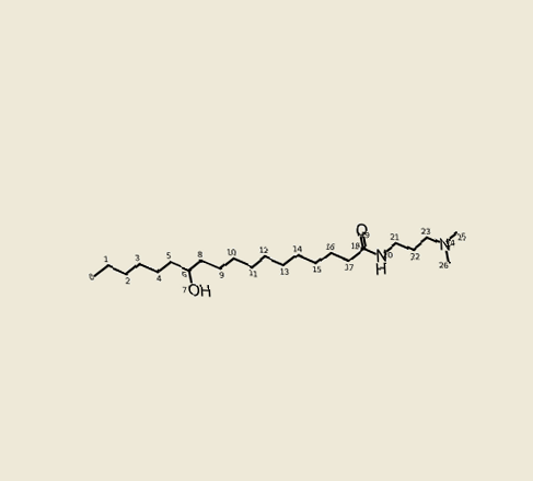 CCCCCCC(O)CCCCCCCCCCC(=O)NCCCN(C)C